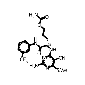 CSc1nc(N)nc(N[C@@H](CCCOC(N)=O)C(=O)Nc2cccc(C(F)(F)F)c2)c1C#N